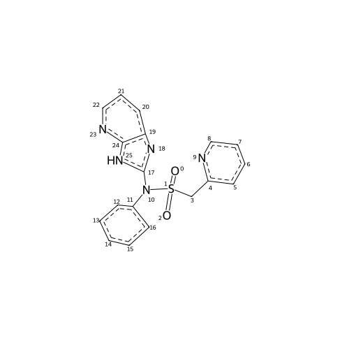 O=S(=O)(Cc1ccccn1)N(c1ccccc1)c1nc2cccnc2[nH]1